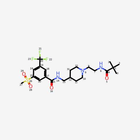 CC(C)(C)C(=O)NCCN1CCC(CNC(=O)c2cc(C(F)(F)F)cc(S(C)(=O)=O)c2)CC1